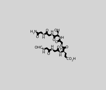 NC(=O)CNC(=O)CNC(=O)[C@@H](CO)NC(=O)CNC(=O)[C@@H](CCC(=O)O)NC(=O)CNC(=O)CNC=O